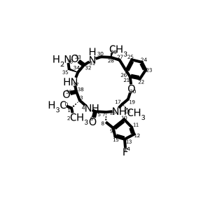 CC(C)[C@H]1NC(=O)[C@@H](Cc2cccc(F)c2)N[C@@H](C)COc2ccccc2C[C@H](C)CNC(=O)[C@H](CN)NC1=O